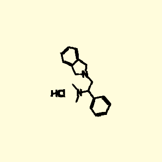 CN(C)C(CN1Cc2ccccc2C1)c1ccccc1.Cl